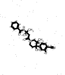 CC(C)(CC(=O)N1CCC(O)(c2ccc(C#N)c(F)c2)C(C)(C)C1)NC(=O)c1ccccc1